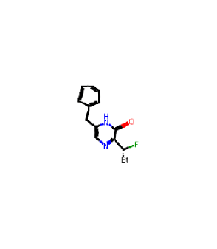 CC[C@@H](F)c1ncc(Cc2ccccc2)[nH]c1=O